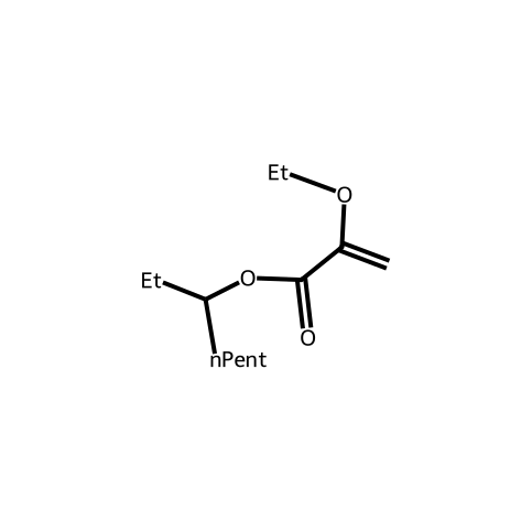 C=C(OCC)C(=O)OC(CC)CCCCC